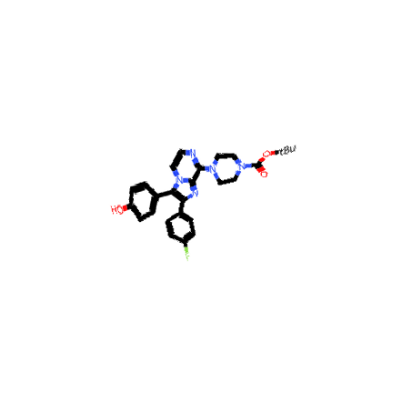 CC(C)(C)OC(=O)N1CCN(c2nccn3c(-c4ccc(O)cc4)c(-c4ccc(F)cc4)nc23)CC1